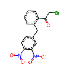 O=C(CBr)c1ccccc1Cc1ccc([N+](=O)[O-])c([N+](=O)[O-])c1